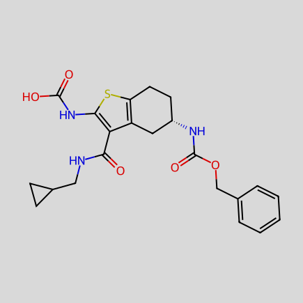 O=C(O)Nc1sc2c(c1C(=O)NCC1CC1)C[C@@H](NC(=O)OCc1ccccc1)CC2